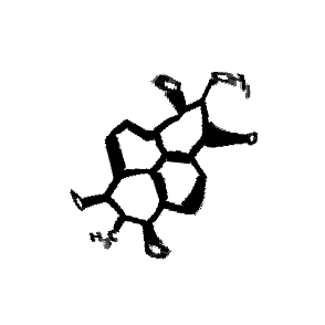 CC1C(=O)c2ccc3c4c(ccc(c24)C1=O)C(=O)C(C)C3=O